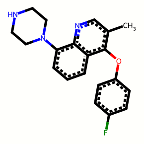 Cc1cnc2c(N3CCNCC3)cccc2c1Oc1ccc(F)cc1